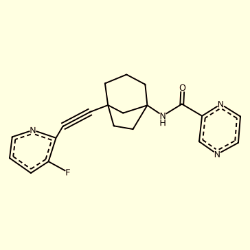 O=C(NC12CCCC(C#Cc3ncccc3F)(CC1)C2)c1cnccn1